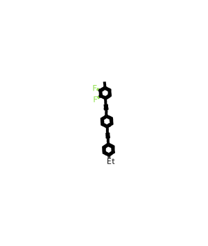 CCc1ccc(C#Cc2ccc(C#Cc3ccc(C)c(F)c3F)cc2)cc1